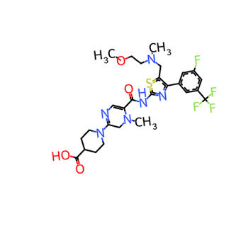 COCCN(C)Cc1sc(NC(=O)C2=CN=C(N3CCC(C(=O)O)CC3)CN2C)nc1-c1cc(F)cc(C(F)(F)F)c1